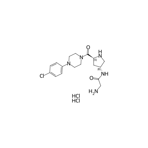 Cl.Cl.NCC(=O)N[C@H]1CN[C@H](C(=O)N2CCN(c3ccc(Cl)cc3)CC2)C1